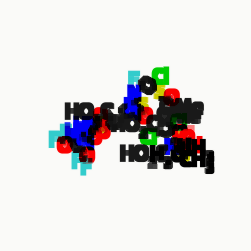 COC(=O)CSc1cc(/N=c2\sc(=O)n3n2CCCC3)c(F)cc1Cl.COc1c(Cl)ccc(Cl)c1C(=O)O.C[S+](C)C.O=C(Nc1nc(OC(F)F)cc(OC(F)F)n1)NS(=O)(=O)c1ccccc1C(=O)O.O=C(O)CNCP(=O)([O-])O